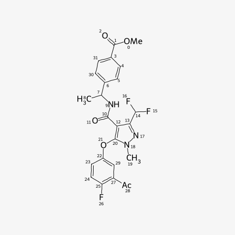 COC(=O)c1ccc(C(C)NC(=O)c2c(C(F)F)nn(C)c2Oc2ccc(F)c(C(C)=O)c2)cc1